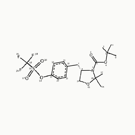 CC(C)(C)OC(=O)N1[C@@H](Cc2ccc(OS(=O)(=O)C(F)(F)F)cc2)COC1(C)C